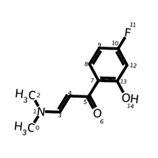 CN(C)C=CC(=O)c1ccc(F)cc1O